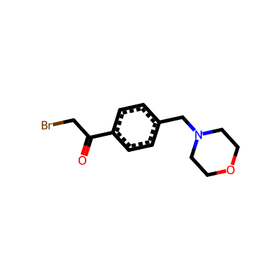 O=C(CBr)c1ccc(CN2CCOCC2)cc1